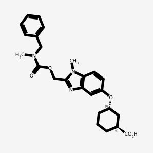 CN(Cc1ccccc1)C(=O)OCc1nc2cc(O[C@H]3CCC[C@H](C(=O)O)C3)ccc2n1C